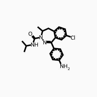 CC(C)NC(=O)N1N=C(c2ccc(N)cc2)c2cc(Cl)ccc2CC1C